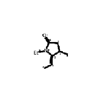 CC=C1C(C)CC(=O)N1CC